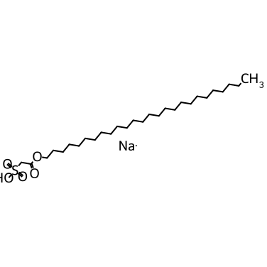 CCCCCCCCCCCCCCCCCCCCCCCCCCOC(=O)CS(=O)(=O)O.[Na]